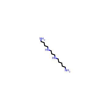 NCCCCCNCCCNCCCCN